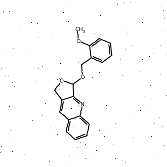 COc1ccccc1COC1OCc2cc3ccccc3nc21